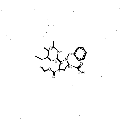 CCOC(=O)[C@@H]1C[C@H](C(=O)O)N(Cc2ccccc2)[C@H]1[C@H](CC(CC)CC)NC(C)=O